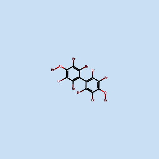 BrOc1c(Br)c(Br)c(-c2c(Br)c(Br)c(OBr)c(Br)c2Br)c(Br)c1Br